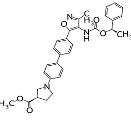 COC(=O)[C@@H]1CCN(c2ccc(-c3ccc(-c4onc(C)c4NC(=O)O[C@H](C)c4ccccc4)cc3)cc2)C1